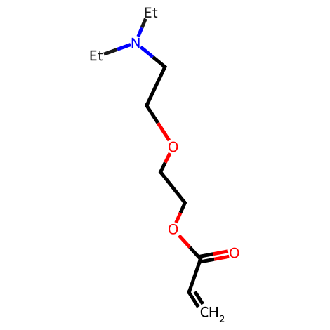 C=CC(=O)OCCOCCN(CC)CC